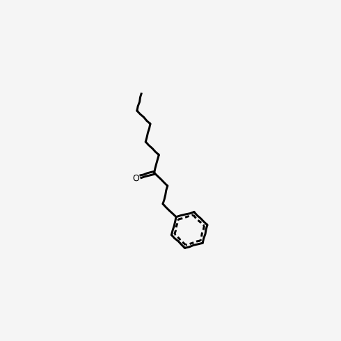 CCCCCC(=O)CCc1ccccc1